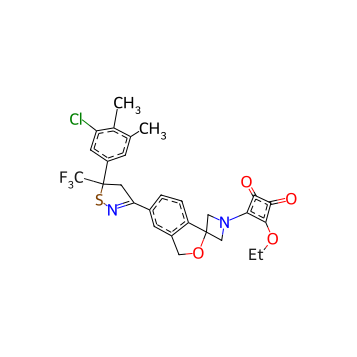 CCOc1c(N2CC3(C2)OCc2cc(C4=NSC(c5cc(C)c(C)c(Cl)c5)(C(F)(F)F)C4)ccc23)c(=O)c1=O